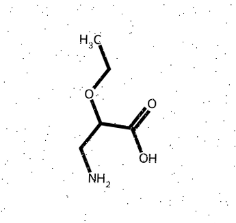 CCOC(CN)C(=O)O